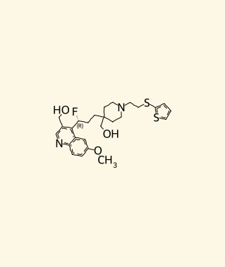 COc1ccc2ncc(CO)c([C@H](F)CCC3(CO)CCN(CCSc4cccs4)CC3)c2c1